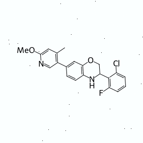 COc1cc(C)c(-c2ccc3c(c2)OCC(c2c(F)cccc2Cl)N3)cn1